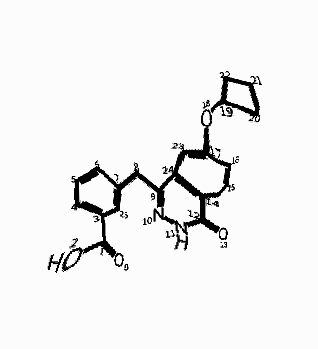 O=C(O)c1cccc(Cc2n[nH]c(=O)c3ccc(OC4CCC4)cc23)c1